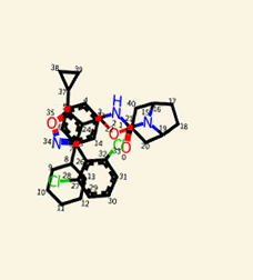 O=C(Nc1cccc(C2CCCCC2)c1)N1C2CCC1CC(OCc1c(-c3c(Cl)cccc3Cl)noc1C1CC1)C2